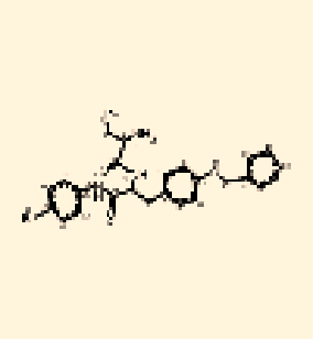 CC(C)CC(N)C(=O)NC(Cc1ccc(OCc2ccccc2)cc1)C(=O)Nc1ccc(Br)cc1